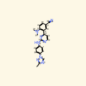 Cc1ncn(-c2ccc(Nc3nccc(-c4cc(C#N)ccc4N(C)C)n3)cc2)n1